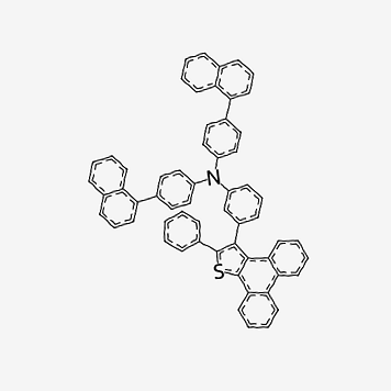 c1ccc(-c2sc3c4ccccc4c4ccccc4c3c2-c2cccc(N(c3ccc(-c4cccc5ccccc45)cc3)c3ccc(-c4cccc5ccccc45)cc3)c2)cc1